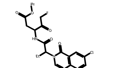 CCC(C(=O)NC(CC(=O)OC(C)C)C(=O)CF)n1ccc2ccc(Cl)cc2c1=O